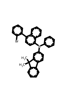 CC1(C)c2ccccc2-c2ccc(N(c3ccccc3)c3ccc(-c4ccccc4Br)c4ccccc34)cc21